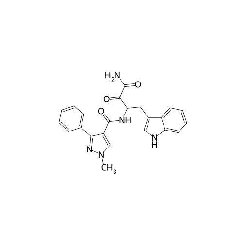 Cn1cc(C(=O)NC(Cc2c[nH]c3ccccc23)C(=O)C(N)=O)c(-c2ccccc2)n1